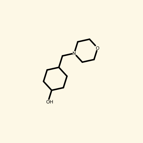 OC1CCC(CN2CCOCC2)CC1